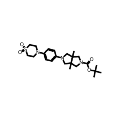 CC(C)(C)OC(=O)N1CC2(C)CN(c3ccc(N4CCS(=O)(=O)CC4)cc3)CC2(C)C1